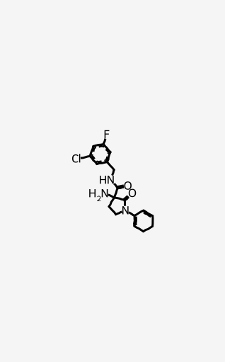 NC1(C(=O)NCc2cc(F)cc(Cl)c2)CCN(C2=CCCC=C2)C1=O